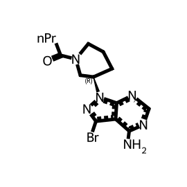 CCCC(=O)N1CCC[C@@H](n2nc(Br)c3c(N)ncnc32)C1